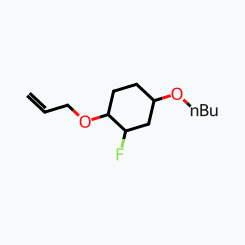 C=CCOC1CCC(OCCCC)CC1F